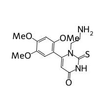 COc1cc(OC)c(-c2cc(=O)[nH]c(=S)n2CCN)cc1OC